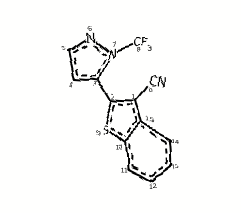 N#Cc1c(-c2ccnn2C(F)(F)F)sc2ccccc12